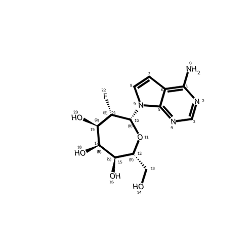 Nc1ncnc2c1ccn2[C@@H]1O[C@H](CO)[C@@H](O)[C@@H](O)[C@@H](O)[C@@H]1F